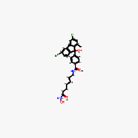 Cc1cc(F)ccc1C(O)(c1ccc(C(=O)NCCCCCCC(=O)NO)cc1)c1ccc(F)cc1C